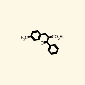 CCOC(=O)C(Cc1ccc(C(F)(F)F)cc1)C(=O)c1ccccc1